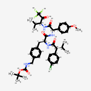 COc1ccc([C@H](NC(=O)[C@H](Cc2ccc(CNC(=O)OC(C)(C)C)cc2)NC(=O)[C@@H](c2ccc(Cl)cc2)C(C)C)C(=O)N[C@H](C(=O)C(F)(F)F)C(C)C)cc1